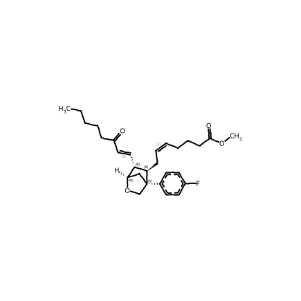 CCCCCC(=O)/C=C/[C@@H]1[C@@H](C/C=C\CCCC(=O)OC)[C@@]2(c3ccc(F)cc3)CO[C@@H]1C2